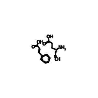 C#CC(N)CCC(=O)O.O=C(O)/C=C/c1ccccc1